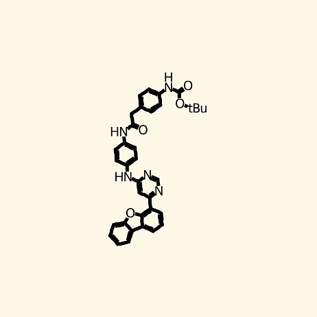 CC(C)(C)OC(=O)Nc1ccc(CC(=O)Nc2ccc(Nc3cc(-c4cccc5c4oc4ccccc45)ncn3)cc2)cc1